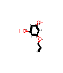 C=CCOc1cc(O)cc(O)c1